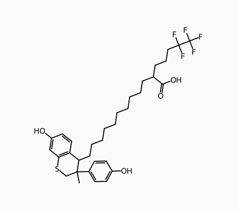 CC1(c2ccc(O)cc2)CSc2cc(O)ccc2C1CCCCCCCCCCC(CCCC(F)(F)C(F)(F)F)C(=O)O